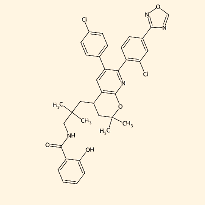 CC(C)(CNC(=O)c1ccccc1O)CC1CC(C)(C)Oc2nc(-c3ccc(-c4ncon4)cc3Cl)c(-c3ccc(Cl)cc3)cc21